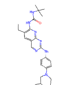 CCc1cc2cnc(Nc3ccc(N4CC(C)NC(C)C4)cc3)nc2nc1NC(=O)NC(C)(C)C